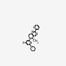 CC1c2cnc(-c3ccccn3)nc2CCN1c1cc(F)cc(N2CCCCC2)n1